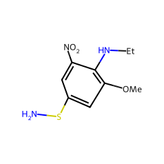 CCNc1c(OC)cc(SN)cc1[N+](=O)[O-]